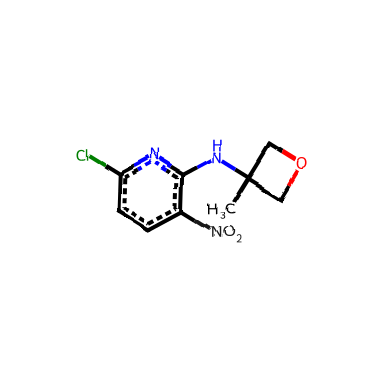 CC1(Nc2nc(Cl)ccc2[N+](=O)[O-])COC1